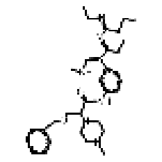 CCCC(=N/CC)/N=C(CC)/C(=C/NC)c1cccc(NC(=O)C(COCc2ccccc2)N2CCN(C)CC2)c1